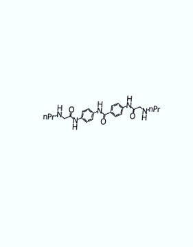 CCCNCC(=O)Nc1ccc(NC(=O)c2ccc(NC(=O)CNCCC)cc2)cc1